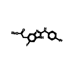 COC(=O)Cc1cc2nc(Nc3ccc(C(C)C)cc3)[nH]c2cc1F